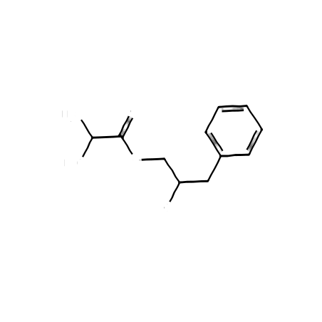 [CH2]C(C)C(=O)OCC(C)Cc1ccccc1